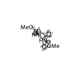 COCCN(C)S(=O)(=O)N[C@H]1CC[C@](CNC(=O)c2ccccc2OC)(c2ccccc2)CC1